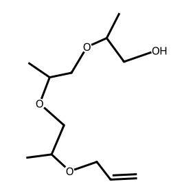 C=CCOC(C)COC(C)COC(C)CO